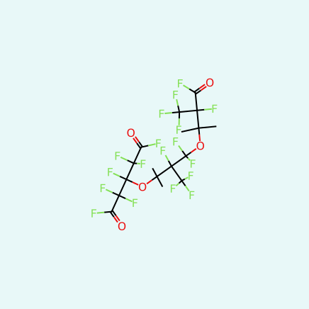 CC(C)(OC(F)(F)C(F)(C(F)(F)F)C(C)(C)OC(F)(C(F)(F)C(=O)F)C(F)(F)C(=O)F)C(F)(C(=O)F)C(F)(F)F